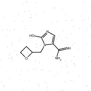 N=C(N)c1cnc(O)n1CC1CCO1